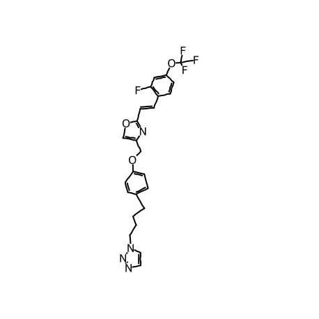 Fc1cc(OC(F)(F)F)ccc1C=Cc1nc(COc2ccc(CCCCn3ccnn3)cc2)co1